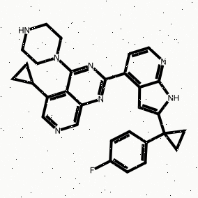 Fc1ccc(C2(c3cc4c(-c5nc(N6CCNCC6)c6c(C7CC7)cncc6n5)ccnc4[nH]3)CC2)cc1